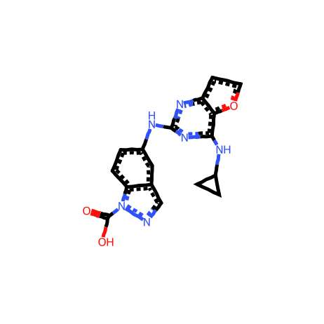 O=C(O)n1ncc2cc(Nc3nc(NC4CC4)c4occc4n3)ccc21